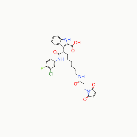 O=C(CCN1C(=O)C=CC1=O)NCCCCCCC(C(=O)Nc1ccc(F)c(Cl)c1)c1c(C(=O)O)[nH]c2ccccc12